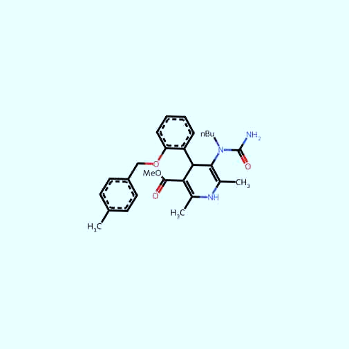 CCCCN(C(N)=O)C1=C(C)NC(C)=C(C(=O)OC)C1c1ccccc1OCc1ccc(C)cc1